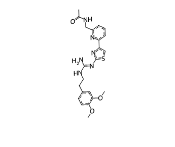 COc1ccc(CCNC(N)=Nc2nc(-c3cccc(CNC(C)=O)n3)cs2)cc1OC